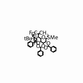 C=C([C@@H](N[S@+]([O-])C(C)(C)C)[C@H]1OC(SC)[C@H](OC(=O)c2ccccc2)C(OC(=O)c2ccccc2)C1OC(=O)c1ccccc1)C(F)(F)F